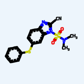 CN(C)S(=O)(=O)n1c(C#N)nc2ccc(Sc3ccccc3)cc21